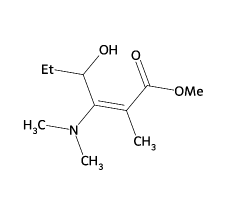 CCC(O)C(=C(C)C(=O)OC)N(C)C